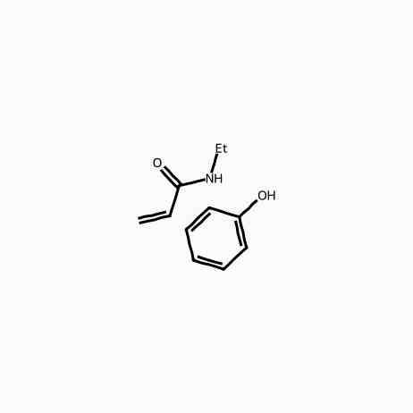 C=CC(=O)NCC.Oc1ccccc1